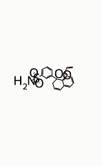 C=CC(=O)OC1(c2cccc(S(N)(=O)=O)c2)CC=Cc2ccccc21